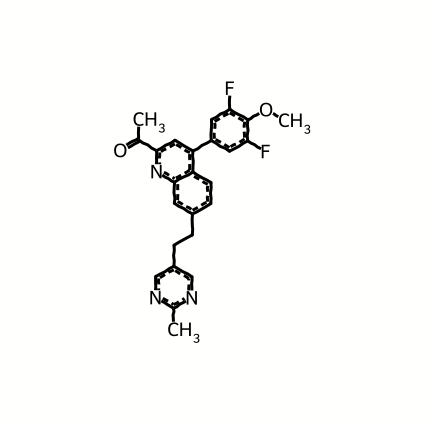 COc1c(F)cc(-c2cc(C(C)=O)nc3cc(CCc4cnc(C)nc4)ccc23)cc1F